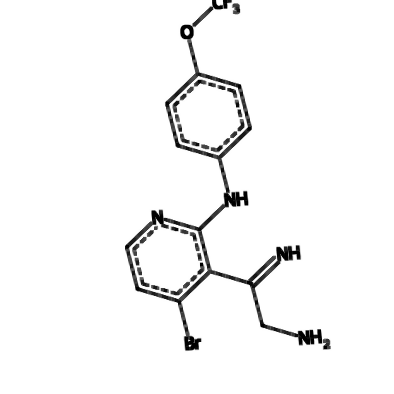 N=C(CN)c1c(Br)ccnc1Nc1ccc(OC(F)(F)F)cc1